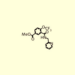 COC(=O)c1ccc(OC(F)(F)F)c(C(=O)NCc2ccccn2)c1